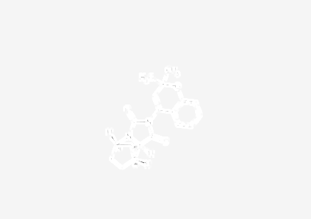 CC1(C)C=C(N2C(=O)[C@H]3[C@@H]4CC[C@@H](C4)N3C2=O)c2ccccc2O1